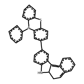 C1=c2ccccc2=C2c3cc(-c4ccc5c(c4)N(c4ccccc4)c4ccccc4S5)ccc3NC2C1